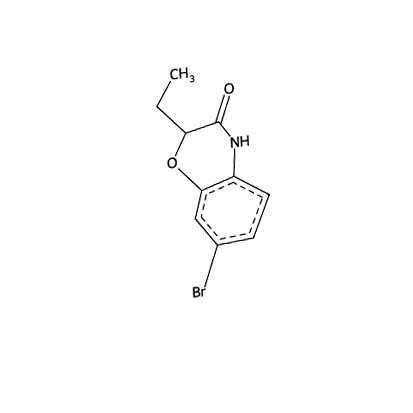 CCC1Oc2cc(Br)ccc2NC1=O